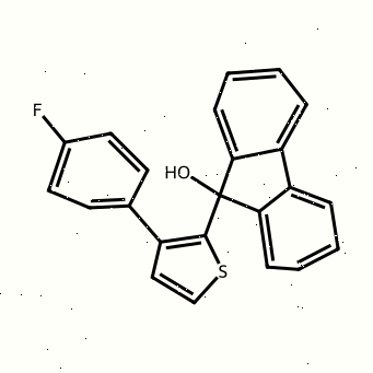 OC1(c2sccc2-c2ccc(F)cc2)c2ccccc2-c2ccccc21